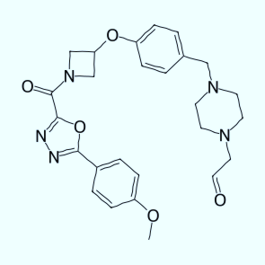 COc1ccc(-c2nnc(C(=O)N3CC(Oc4ccc(CN5CCN(CC=O)CC5)cc4)C3)o2)cc1